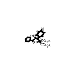 CCn1c(C(=O)c2ccccc2)c(C(CC)(C(=O)O)C(=O)O)c2ccc(Cl)cc21